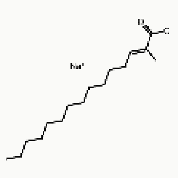 CCCCCCCCCCCC/C=C(\C)C(=O)[O-].[Na+]